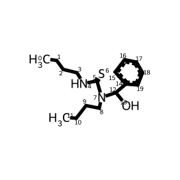 CCCCNC(=S)N(CCCC)C(O)c1ccccc1